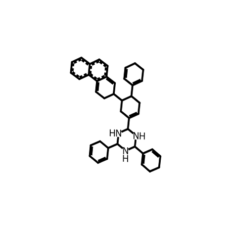 C1=CCC(C2NC(C3=CCCC=C3)NC(C3=CCC(C4=CCCC=C4)C(C4C=c5ccc6ccccc6c5=CC4)C3)N2)C=C1